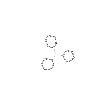 Clc1ccc([SH](c2ccccc2)c2ccccc2)cc1